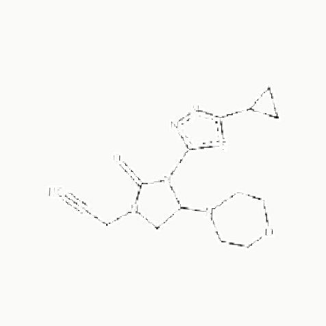 C#CCN1CC(N2CCOCC2)N(c2nnc(C3CC3)s2)C1=O